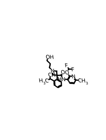 Cc1ccc(NC(=O)C2(c3ccccc3C(C)C)CN(CCCO)C2)c(OC(F)F)n1